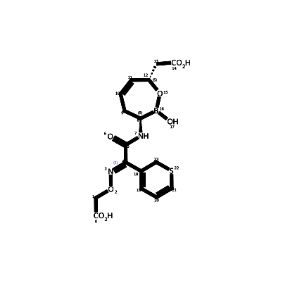 O=C(O)CO/N=C(/C(=O)N[C@H]1CC=C[C@H](CC(=O)O)OB1O)C1=CC=CSC1